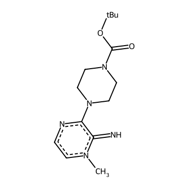 Cn1ccnc(N2CCN(C(=O)OC(C)(C)C)CC2)c1=N